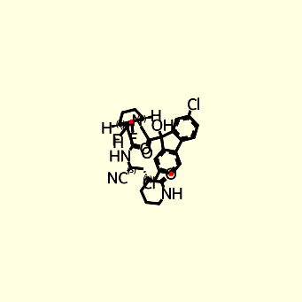 N#C[C@H](C[C@H]1CCCNC1=O)NC(=O)[C@H]1[C@@H]2CC[C@@H](CC2(F)F)N1C(=O)C1(O)c2cc(Cl)ccc2-c2ccc(Cl)cc21